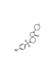 N#Cc1ccc(S(=O)(=O)N2CCCC3(CCN(C4CCOCC4)C3=O)C2)cc1